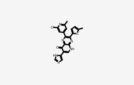 Cc1cc(-c2nc3c(=O)c(-c4cnc[nH]4)c[nH]c3nc2-c2ccc(C)o2)cc(Cl)n1